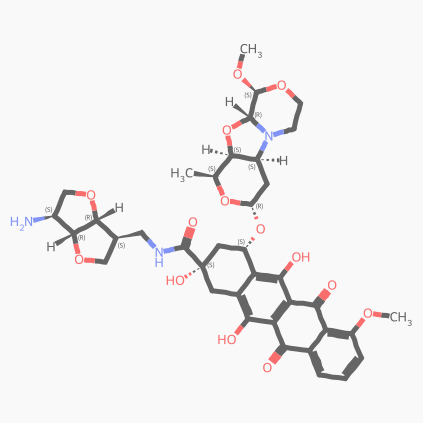 COc1cccc2c1C(=O)c1c(O)c3c(c(O)c1C2=O)C[C@@](O)(C(=O)NC[C@H]1CO[C@H]2[C@@H]1OC[C@@H]2N)C[C@@H]3O[C@H]1C[C@H]2[C@H](O[C@@H]3[C@@H](OC)OCCN32)[C@H](C)O1